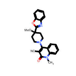 COC1(c2nc3ccccc3o2)CCN(c2c(C#N)c(=O)n(C)c3ccccc23)CC1